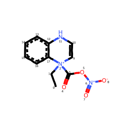 CC[N+]1(C(=O)O[N+](=O)[O-])C=CNc2ccccc21